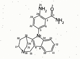 NC(=O)c1cc(-n2c3c(c4ccccc42)CN2CCC3CC2)ccc1N